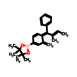 C=c1cc(B2OC(C)(C)C(C)(C)O2)cc/c1=C(/C(C)=C/C)c1ccccc1